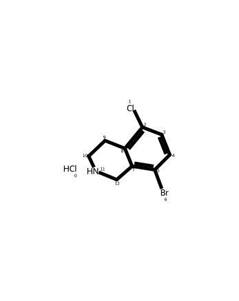 Cl.Clc1ccc(Br)c2c1CCNC2